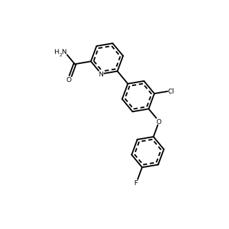 NC(=O)c1cccc(-c2ccc(Oc3ccc(F)cc3)c(Cl)c2)n1